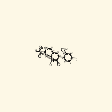 Cc1ccc(-c2cc3cnc(S(C)(=O)=O)nc3n(C)c2=O)c(Cl)c1